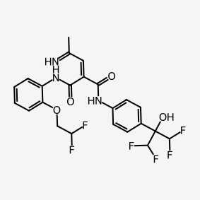 CC(=N)/C=C(/C(=O)Nc1ccc(C(O)(C(F)F)C(F)F)cc1)C(=O)Nc1ccccc1OCC(F)F